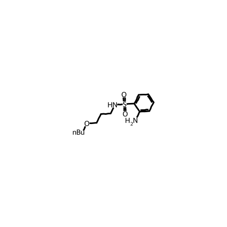 CCCCOCCCNS(=O)(=O)c1ccccc1N